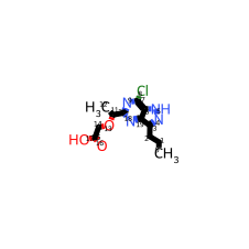 CCCc1n[nH]c2c(Cl)nc(C(C)OCC(=O)O)nc12